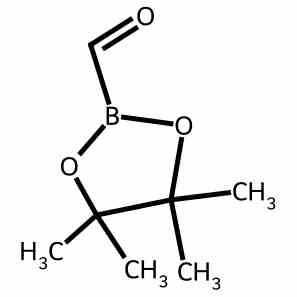 CC1(C)OB(C=O)OC1(C)C